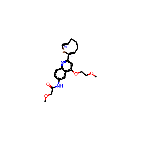 COCCOc1cc(/C2=C/CCC/C=C/S2)nc2ccc(NC(=O)COC)cc12